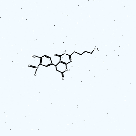 CCCCSc1nc2c(c(=O)[nH]1)C(c1ccc(O)c([N+](=O)[O-])c1)CC(=O)N2